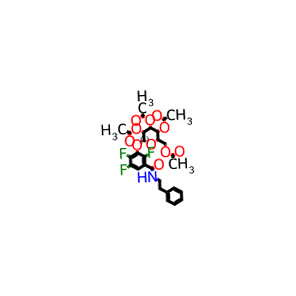 CC(=O)OCC1O[C@@H](Oc2c(F)c(F)cc(C(=O)NCCc3ccccc3)c2F)C(OC(C)=O)C(OC(C)=O)C1OC(C)=O